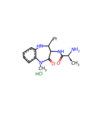 CC(C)C1Nc2ccccc2N(C)C(=O)C1NC(=O)[C@H](C)N.Cl